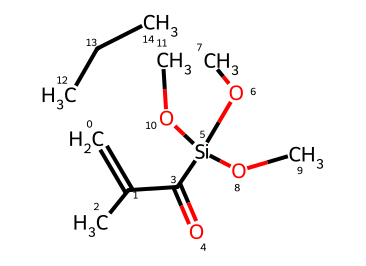 C=C(C)C(=O)[Si](OC)(OC)OC.CCC